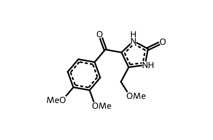 COCc1[nH]c(=O)[nH]c1C(=O)c1ccc(OC)c(OC)c1